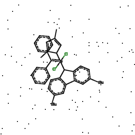 CC1=C[CH]([Zr]([Cl])([Cl])(=[C](c2ccccc2)c2ccccc2)[CH]2c3ccc(C(C)(C)C)cc3-c3cc(C(C)(C)C)ccc32)C(C)=C1